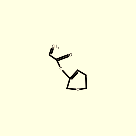 C=CC(=O)CC1=CCCCC1